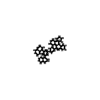 c1ccc2c(-c3nc(-c4ccc(-c5nc6ccccc6c6c7ccccc7c7ccccc7c56)cc4)nc(-c4cccc5ccccc45)n3)cccc2c1